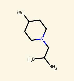 BC(B)CN1CCC(C(C)(C)C)CC1